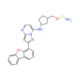 NSOCC1CCC(Nc2ccnc3cc(-c4cccc5c4oc4ccccc45)nn23)C1